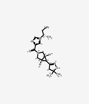 CC(C)C[C@H](C)n1cnc(C(=O)N2C[C@@H]3C(C4=NOC(C)(C)C4)[C@@H]3C2)c1